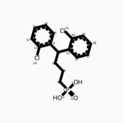 O=P(O)(O)CCCC(c1ccccc1Cl)c1ccccc1Cl